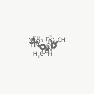 C#Cc1ccc(NS(=O)(=O)c2ccc(NC(=O)c3ccnn3C)cc2OC)cc1OC(F)(F)P